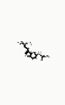 CC(=O)Nc1ccc2occ(CCN(C)C)c2n1